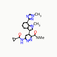 CNC(=O)c1nnc(NC(=O)C2CC2)cc1-c1cn(C)c2c(-c3ncn(C)n3)cccc12